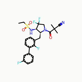 CCS(=O)(=O)N[C@@H]1[C@H](Cc2cccc(-c3cccc(F)c3)c2F)N(C(=O)C(C)(C)C#N)CC1(F)F